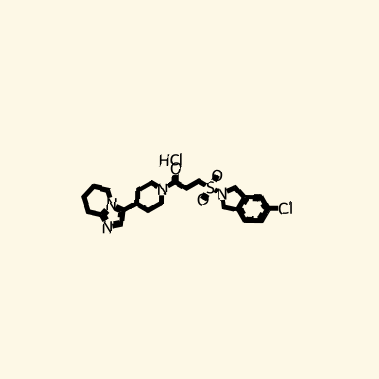 Cl.O=C(CCS(=O)(=O)N1Cc2ccc(Cl)cc2C1)N1CCC(c2cnc3n2CCCC3)CC1